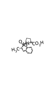 Cc1cc2ccccc2oc1=O.O=C(O)[C@@H]1CCCN1